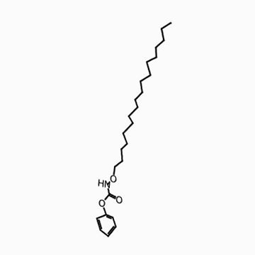 CCCCCCCCCCCCCCCCCCONC(=O)Oc1ccccc1